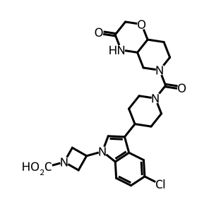 O=C1COC2CCN(C(=O)N3CCC(c4cn(C5CN(C(=O)O)C5)c5ccc(Cl)cc45)CC3)CC2N1